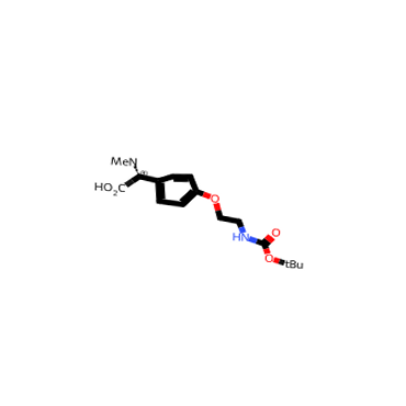 CN[C@@H](C(=O)O)c1ccc(OCCNC(=O)OC(C)(C)C)cc1